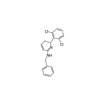 Clc1cccc(Cl)c1C1CC=CC(NCc2ccccc2)=N1